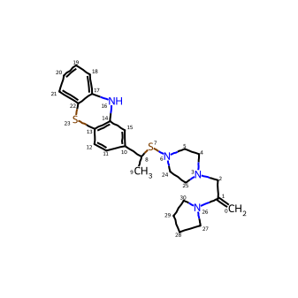 C=C(CN1CCN(SC(C)c2ccc3c(c2)Nc2ccccc2S3)CC1)N1CCCC1